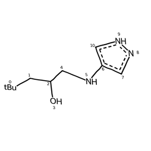 CC(C)(C)CC(O)CNc1cn[nH]c1